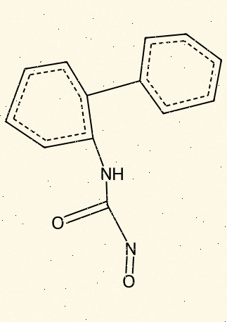 O=NC(=O)Nc1ccccc1-c1ccccc1